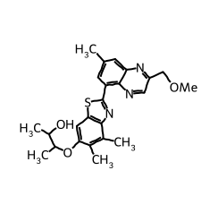 COCc1cnc2c(-c3nc4c(C)c(C)c(OC(C)C(C)O)cc4s3)cc(C)cc2n1